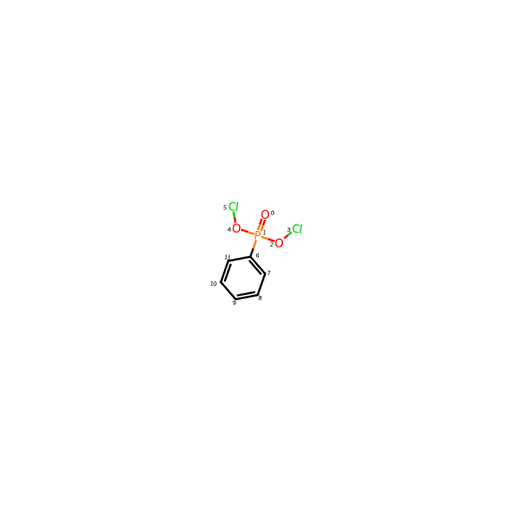 O=P(OCl)(OCl)c1ccccc1